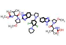 COC(=O)N[C@H](C(=O)N1C[C@H](OC)C[C@H]1c1nc2cc([C@H]3CC[C@H](c4ccc5[nH]c([C@@H]6C[C@@H](OC)CN6C(=O)[C@@H](NC(=O)O)C(C)C)nc5c4)N3c3cc(F)c(N4CCCCC4)c(F)c3)ccc2[nH]1)C(C)C